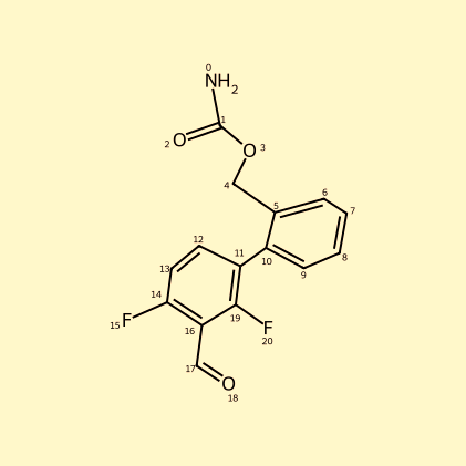 NC(=O)OCc1ccccc1-c1ccc(F)c(C=O)c1F